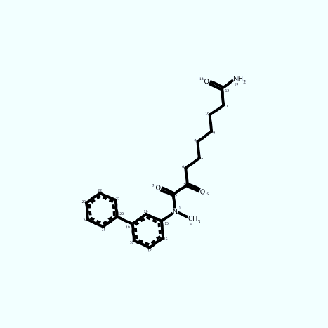 CN(C(=O)C(=O)CCCCCCC(N)=O)c1cccc(-c2ccccc2)c1